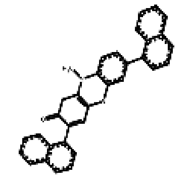 CN1C2=C(C=C(c3cccc4ccccc34)C(=O)C2)Sc2cc(-c3cccc4ccccc34)ccc21